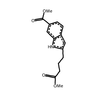 COC(=O)CCCc1cc2ccc(C(=O)OC)cc2[nH]1